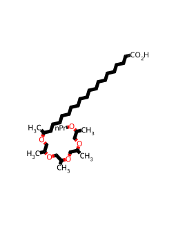 C[CH]COC(C)COC(C)COC(C)COC(C)COC(C)CCCCCCCCCCCCCCCCCCC(=O)O